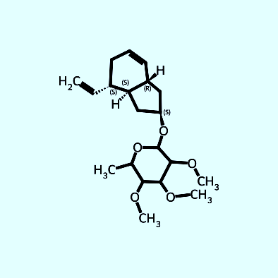 C=C[C@@H]1CC=C[C@@H]2C[C@@H](OC3OC(C)C(OC)C(OC)C3OC)C[C@@H]12